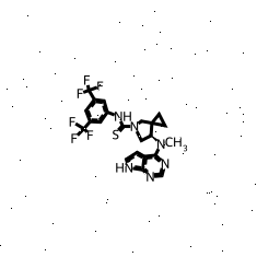 CN(c1ncnc2[nH]ccc12)[C@H]1CN(C(=S)Nc2cc(C(F)(F)F)cc(C(F)(F)F)c2)CC12CC2